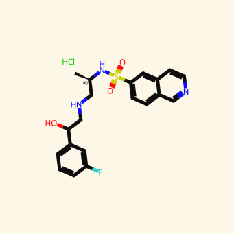 C[C@H](CNCC(O)c1cccc(F)c1)NS(=O)(=O)c1ccc2cnccc2c1.Cl